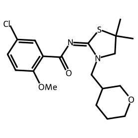 COc1ccc(Cl)cc1C(=O)N=C1SC(C)(C)CN1CC1CCCOC1